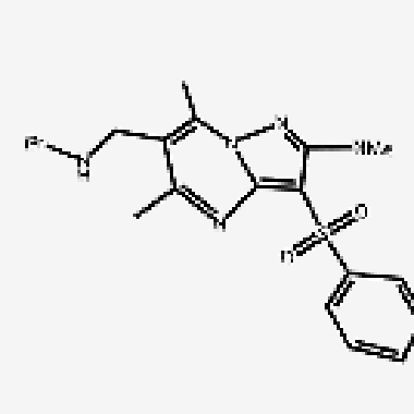 CNc1nn2c(C)c(CNC(C)C)c(C)nc2c1S(=O)(=O)c1ccccc1